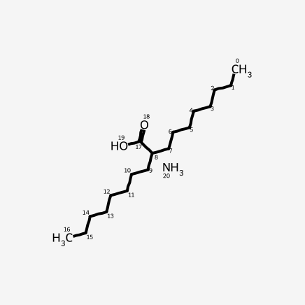 CCCCCCCCC(CCCCCCCC)C(=O)O.N